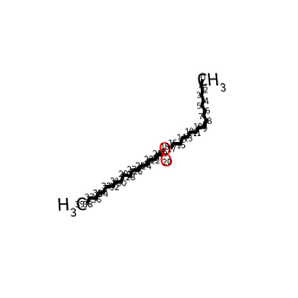 CCCCCCCC/C=C\CCCCCCCCOC(=O)C=CC=CC=CCCCCCCCCCCCCC